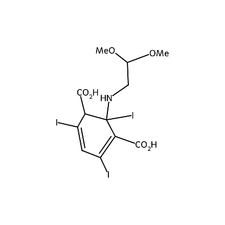 COC(CNC1(I)C(C(=O)O)=C(I)C=C(I)C1C(=O)O)OC